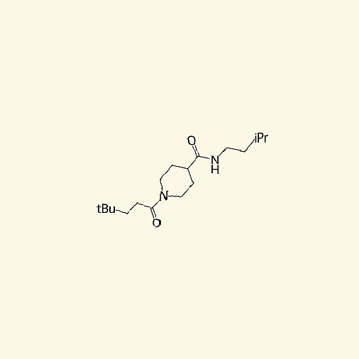 CC(C)CCNC(=O)C1CCN(C(=O)CCC(C)(C)C)CC1